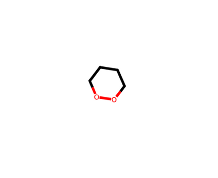 C1CCOOC1